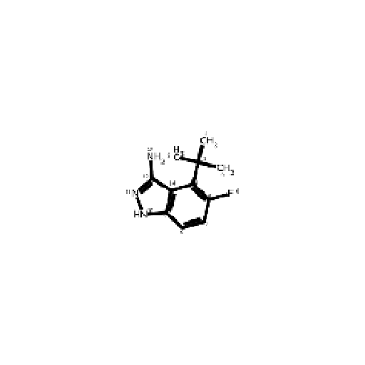 CC(C)(C)c1c(F)ccc2[nH]nc(N)c12